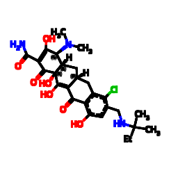 CCC(C)(C)NCc1cc(O)c2c(c1Cl)C[C@H]1C[C@H]3[C@H](N(C)C)C(O)=C(C(N)=O)C(=O)[C@@]3(O)C(O)=C1C2=O